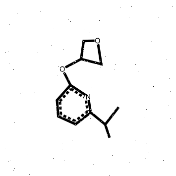 CC(C)c1cccc(OC2COC2)n1